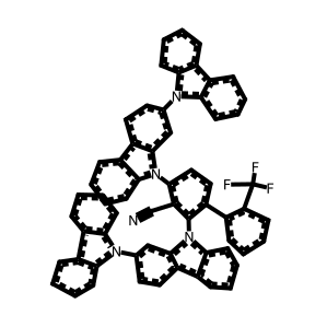 N#Cc1c(-n2c3ccccc3c3ccc(-n4c5ccccc5c5ccccc54)cc32)ccc(-c2ccccc2C(F)(F)F)c1-n1c2ccccc2c2ccc(-n3c4ccccc4c4ccccc43)cc21